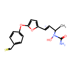 CC(/C=C/c1ccc(Oc2ccc(C=S)cc2)o1)N(O)C(N)=O